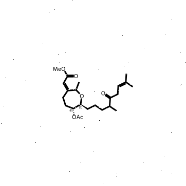 COC(=O)C=C1CC[C@@H](OC(C)=O)[C@H](CCCC(C)C(=O)CC=C(C)C)OC1C